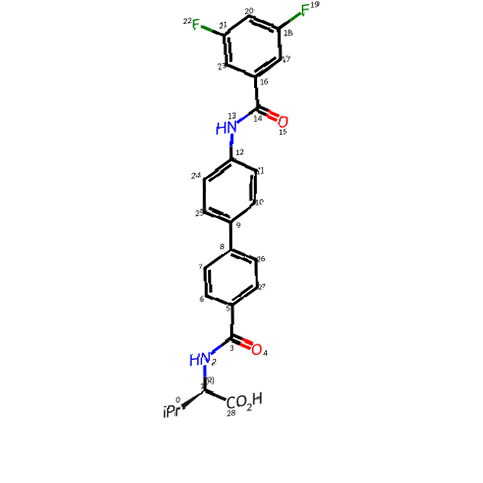 CC(C)[C@@H](NC(=O)c1ccc(-c2ccc(NC(=O)c3cc(F)cc(F)c3)cc2)cc1)C(=O)O